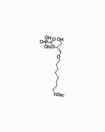 CCCCCCCCCCCCCCCCCCOC[C@H](CO)OC(=O)P(=O)(O)O